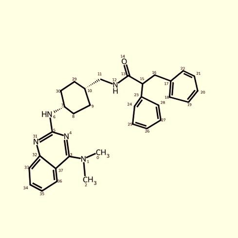 CN(C)c1nc(N[C@H]2CC[C@@H](CNC(=O)C(Cc3ccccc3)c3ccccc3)CC2)nc2ccccc12